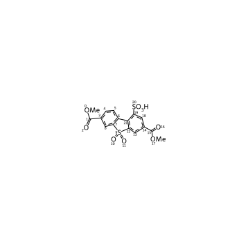 COC(=O)c1ccc2c(c1)S(=O)(=O)c1cc(C(=O)OC)cc(S(=O)(=O)O)c1-2